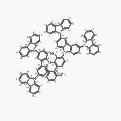 N#Cc1c(-n2c3ccc(-n4c5ccccc5c5ccccc54)cc3c3cc(-n4c5ccccc5c5ccccc54)ccc32)ccc(-c2c(F)cccc2F)c1-n1c2ccc(-n3c4ccccc4c4ccccc43)cc2c2cc(-n3c4ccccc4c4ccccc43)ccc21